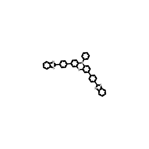 c1ccc(N2c3ccc(-c4ccc(-c5nc6ccccc6s5)cc4)cc3Sc3cc(-c4ccc(-c5nc6ccccc6s5)cc4)ccc32)cc1